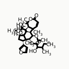 C=C1[C@@H]([C@@]2(C)C=CC(=O)OC(C)(C)[C@@H]2CC(=O)OC)[C@@H](OC(C)=O)[C@H](OC(=O)C(O)C(C)CC)[C@@]2(C)[C@H](c3ccoc3)C[C@H]3O[C@]132